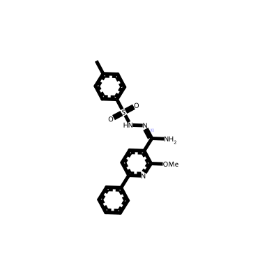 COc1nc(-c2ccccc2)ccc1/C(N)=N\NS(=O)(=O)c1ccc(C)cc1